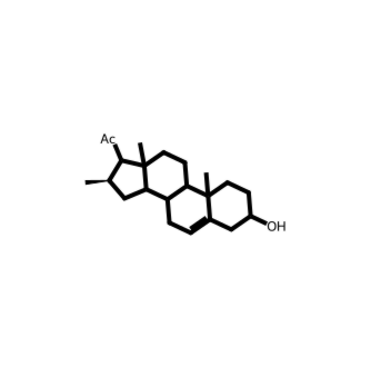 CC(=O)C1[C@H](C)CC2C3CC=C4CC(O)CCC4(C)C3CCC21C